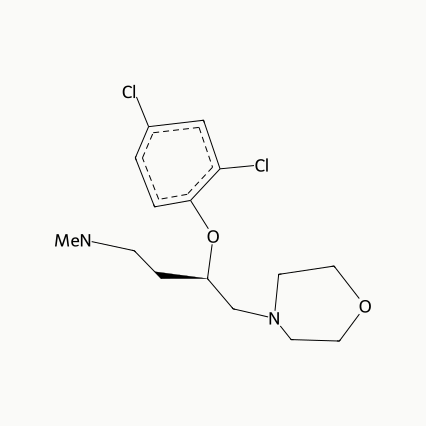 CNCC[C@H](CN1CCOCC1)Oc1ccc(Cl)cc1Cl